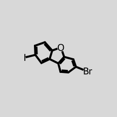 Brc1ccc2c(c1)oc1ccc(I)cc12